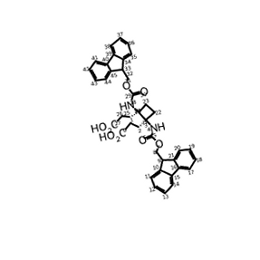 O=C(O)CC[C@@]1(NC(=O)OCC2c3ccccc3-c3ccccc32)CC[C@]1(CCC(=O)O)NC(=O)OCC1c2ccccc2-c2ccccc21